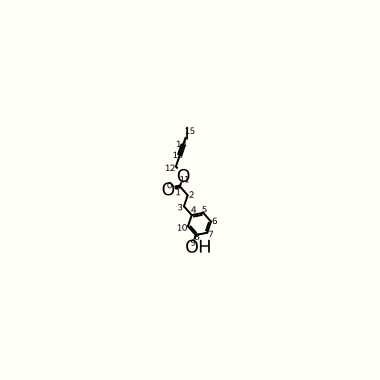 O=C(CCc1cccc(O)c1)OCC#CI